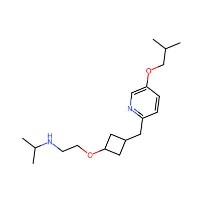 CC(C)COc1ccc(CC2CC(OCCNC(C)C)C2)nc1